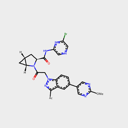 COc1ncc(-c2ccc3c(c2)c(C(C)=O)nn3CC(=O)N2[C@@H]3C[C@@H]3C[C@H]2C(=O)Nc2cncc(Br)n2)cn1